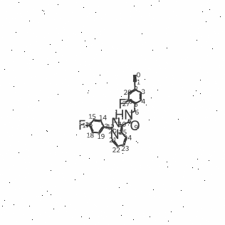 C#Cc1ccc(CNC(=O)c2nc(-c3ccc(F)cc3)n3ccccc23)c(F)c1